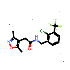 Cc1noc(C)c1CC(=O)NCc1cccc(C(F)(F)F)c1Cl